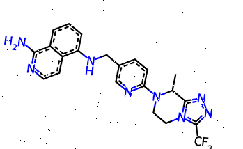 CC1c2nnc(C(F)(F)F)n2CCN1c1ccc(CNc2cccc3c(N)nccc23)cn1